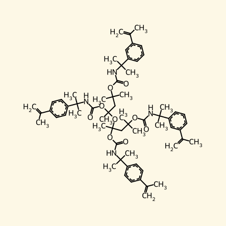 C=C(C)c1ccc(C(C)(C)NC(=O)OC(C)(CC(C)(C)OC(=O)NC(C)(C)c2cccc(C(=C)C)c2)OC(C)(CC(C)(C)OC(=O)NC(C)(C)c2cccc(C(=C)C)c2)OC(=O)NC(C)(C)c2ccc(C(=C)C)cc2)cc1